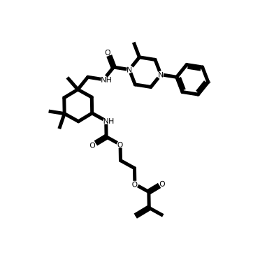 C=C(C)C(=O)OCCOC(=O)NC1CC(C)(C)CC(C)(CNC(=O)N2CCN(c3cc[c]cc3)CC2C)C1